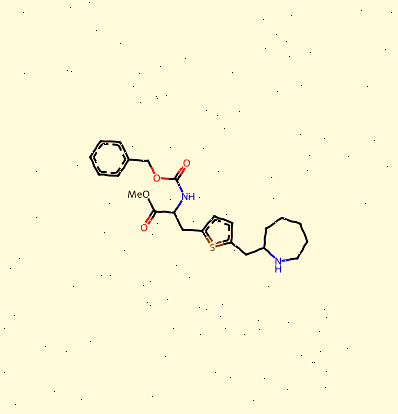 COC(=O)C(Cc1ccc(CC2CCCCCN2)s1)NC(=O)OCc1ccccc1